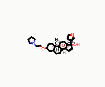 C[C@]12CCC(OCCN3CCCC3)CC1CC[C@@H]1[C@H]2CC[C@]2(C)C(O)(c3ccoc3)C=C[C@@]12O